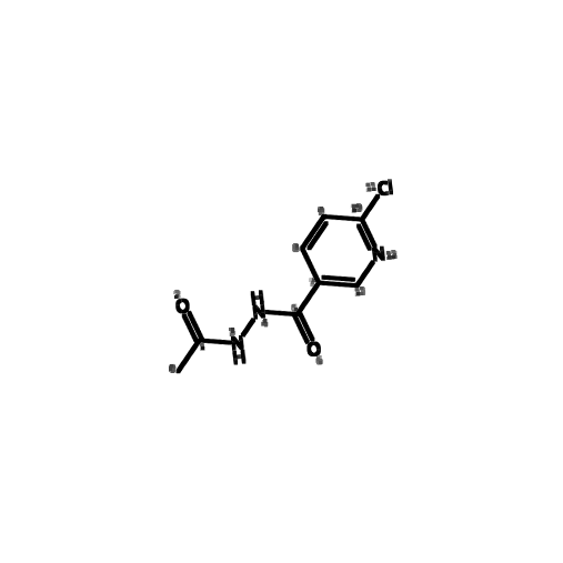 CC(=O)NNC(=O)c1ccc(Cl)nc1